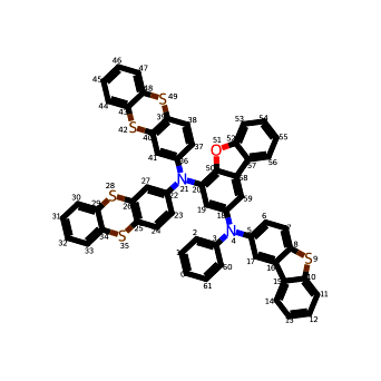 c1ccc(N(c2ccc3sc4ccccc4c3c2)c2cc(N(c3ccc4c(c3)Sc3ccccc3S4)c3ccc4c(c3)Sc3ccccc3S4)c3oc4ccccc4c3c2)cc1